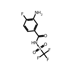 Nc1cc(C(=O)NS(=O)(=O)C(F)(F)F)ccc1F